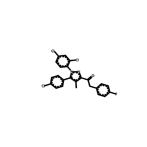 Cc1c(C(=O)Cc2ccc(F)cc2)nn(-c2ccc(Cl)cc2Cl)c1-c1ccc(Cl)cc1